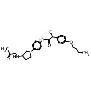 CCCCOc1ccc(C(C)C(=O)Nc2ccc(N3CCC(NCC(C)=O)C3)cc2)cc1